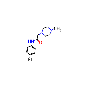 CCc1ccc(NC(=O)CN2CCN(C)CC2)cc1